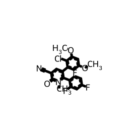 COc1cc(OC)c(Cl)c(-c2cc(C#N)c(=O)n(C)c2-c2c(F)cc(F)cc2F)c1